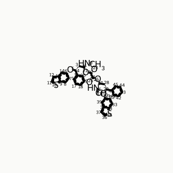 CNC(C[C@@H](Oc1ccc2sccc2c1)c1ccccc1)OC(=O)C(=O)OC(C[C@@H](Oc1ccc2sccc2c1)c1ccccc1)NC